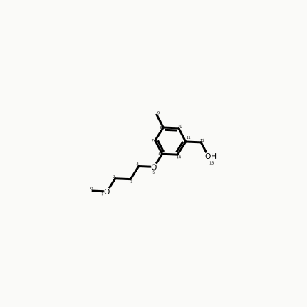 COCCCOc1cc(C)cc(CO)c1